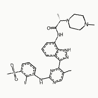 Cc1cnc(Nc2cccc(S(C)(=O)=O)c2F)nc1-c1n[nH]c2c(NC(=O)[C@H](C)N3CCN(C)CC3)cccc12